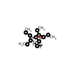 Cc1cccc(-c2ccc3c(c2)c2cc(-c4cccc(C)c4)ccc2n3-c2ccc(C#N)c(-c3cc(-c4c(C(F)(F)F)cccc4C(F)(F)F)ccc3-n3c4ccc(-c5cccc(C)c5)cc4c4cc(-c5cccc(C)c5)ccc43)c2)c1